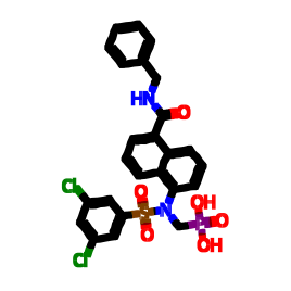 O=C(NCc1ccccc1)c1cccc2c(N(CP(=O)(O)O)S(=O)(=O)c3cc(Cl)cc(Cl)c3)cccc12